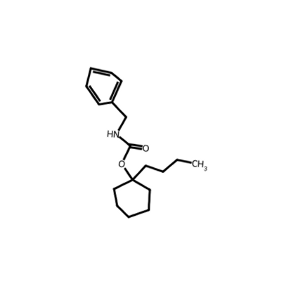 CCCCC1(OC(=O)NCc2ccccc2)CCCCC1